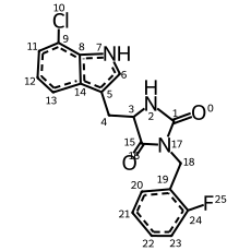 O=C1NC(Cc2c[nH]c3c(Cl)cccc23)C(=O)N1Cc1ccccc1F